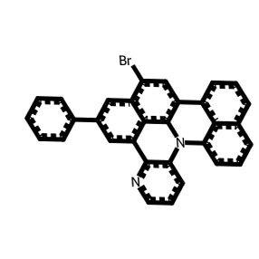 Brc1cc2c3c4c(cc(-c5ccccc5)cc14)-c1ncccc1N3c1cccc3cccc-2c13